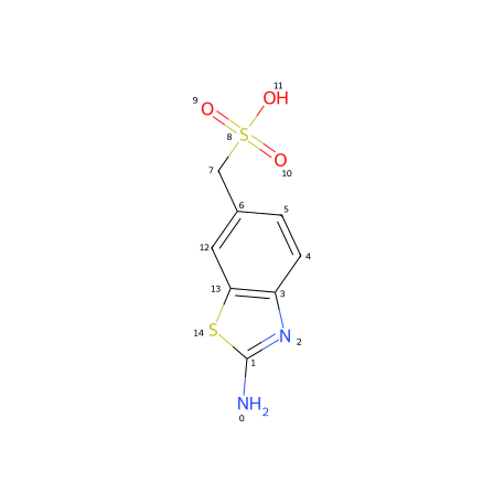 Nc1nc2ccc(CS(=O)(=O)O)cc2s1